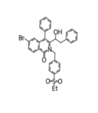 CCS(=O)(=O)c1ccc(Cn2c(C(O)Cc3ccccc3)c(-c3ccccc3)c3cc(Br)ccc3c2=O)cc1